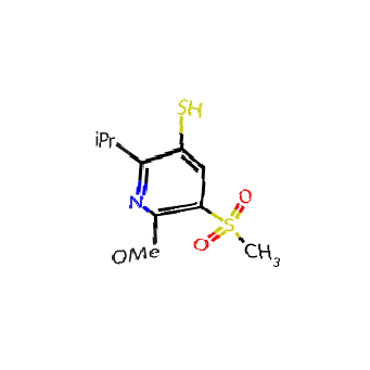 COc1nc(C(C)C)c(S)cc1S(C)(=O)=O